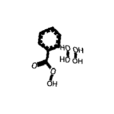 O=C(OO)c1ccccc1.OO.OO